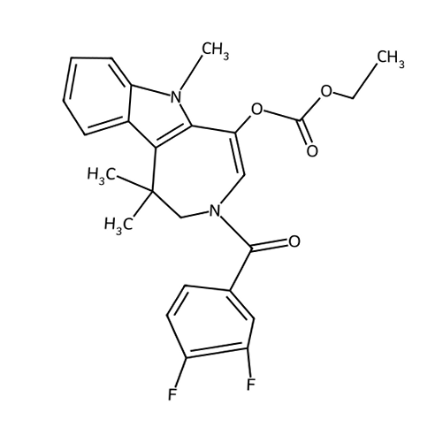 CCOC(=O)OC1=CN(C(=O)c2ccc(F)c(F)c2)CC(C)(C)c2c1n(C)c1ccccc21